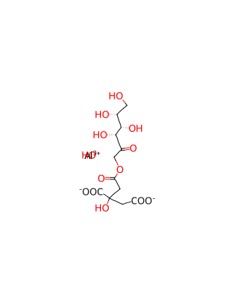 O=C([O-])CC(O)(CC(=O)OCC(=O)[C@H](O)[C@@H](O)[C@H](O)CO)C(=O)[O-].[Al+3].[OH-]